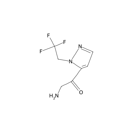 NCC(=O)c1ccnn1CC(F)(F)F